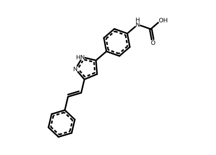 O=C(O)Nc1ccc(-c2cc(C=Cc3ccccc3)n[nH]2)cc1